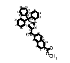 COC(=O)c1ccc2cc(C(=O)c3cn(C(c4ccccc4)(c4ccccc4)c4ccccc4)cn3)ccc2c1